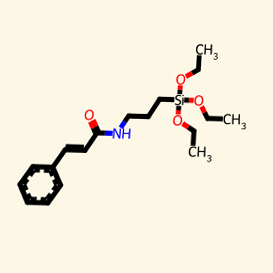 CCO[Si](CCCNC(=O)C=Cc1ccccc1)(OCC)OCC